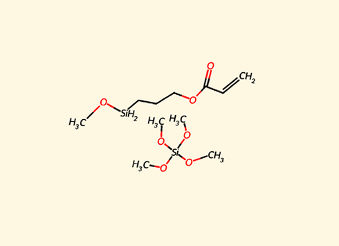 C=CC(=O)OCCC[SiH2]OC.CO[Si](OC)(OC)OC